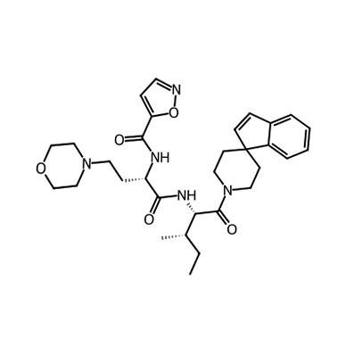 CC[C@H](C)[C@H](NC(=O)[C@H](CCN1CCOCC1)NC(=O)c1ccno1)C(=O)N1CCC2(C=Cc3ccccc32)CC1